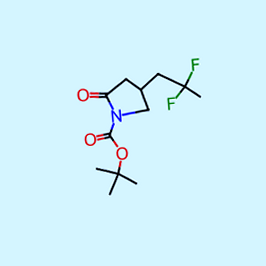 CC(F)(F)CC1CC(=O)N(C(=O)OC(C)(C)C)C1